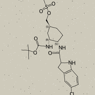 CC(C)(C)OC(=O)N[C@@H]1C[C@@H](COS(C)(=O)=O)CC[C@@H]1NC(=O)C1Cc2cc(Cl)ccc2N1